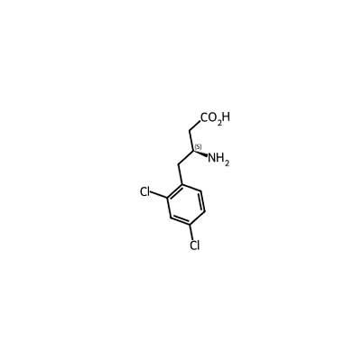 N[C@H](CC(=O)O)Cc1ccc(Cl)cc1Cl